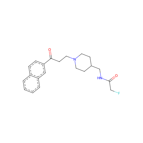 O=C(CF)NCC1CCN(CCC(=O)c2ccc3ccccc3c2)CC1